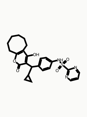 O=c1oc2c(c(O)c1C(c1ccc(NS(=O)(=O)c3ncccn3)cc1)C1CC1)CCCCCC2